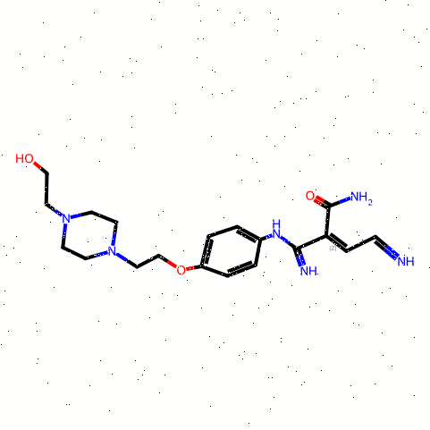 N=C/C=C(/C(=N)Nc1ccc(OCCN2CCN(CCO)CC2)cc1)C(N)=O